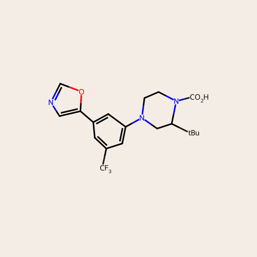 CC(C)(C)C1CN(c2cc(-c3cnco3)cc(C(F)(F)F)c2)CCN1C(=O)O